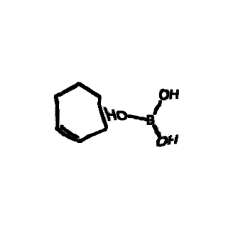 C1=CCCCC1.OB(O)O